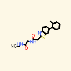 Cc1ccccc1-c1ccc2nc(CC(=O)NCC(=O)NCC#N)sc2c1